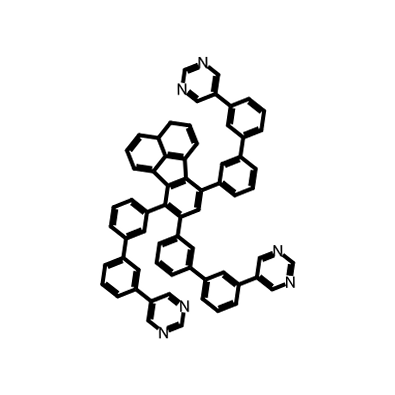 C1=CC2CC=CC3=C2C(=C1)c1c3c(-c2cccc(-c3cccc(-c4cncnc4)c3)c2)cc(-c2cccc(-c3cccc(-c4cncnc4)c3)c2)c1-c1cccc(-c2cccc(-c3cncnc3)c2)c1